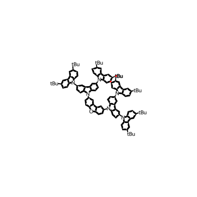 CC(C)(C)c1ccc2c(c1)c1cc(C(C)(C)C)ccc1n2-c1ccc2c(c1)c1cc(-n3c4ccc(C(C)(C)C)cc4c4cc(C(C)(C)C)ccc43)ccc1n2-c1ccc2oc3ccc(-n4c5ccc(-n6c7ccc(C(C)(C)C)cc7c7cc(C(C)(C)C)ccc76)cc5c5cc(-n6c7ccc(C(C)(C)C)cc7c7cc(C(C)(C)C)ccc76)ccc54)cc3c2c1